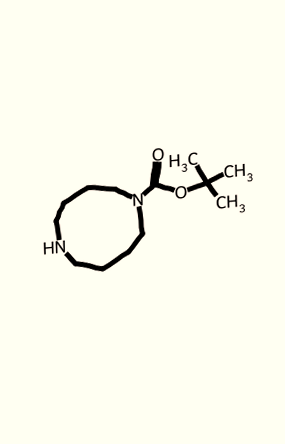 CC(C)(C)OC(=O)N1CCCCNCCCC1